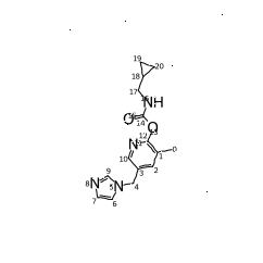 Cc1cc(Cn2ccnc2)cnc1OC(=O)NCC1CC1